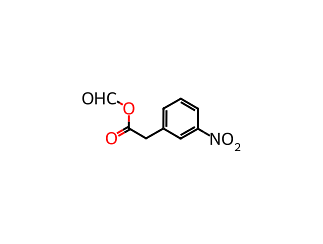 O=COC(=O)Cc1cccc([N+](=O)[O-])c1